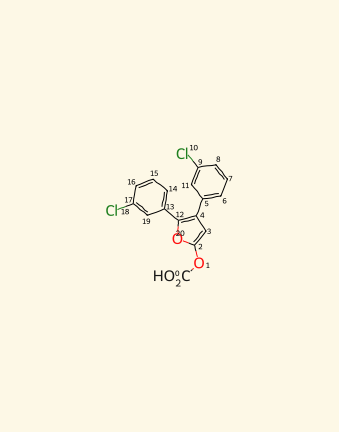 O=C(O)Oc1cc(-c2cccc(Cl)c2)c(-c2cccc(Cl)c2)o1